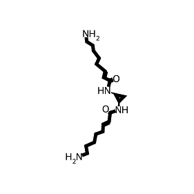 NCCCCC/C=C/C(=O)N[C@@H]1C[C@H]1NC(=O)/C=C/CCCCCN